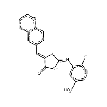 O=C1N/C(=N\c2cc(C(=O)O)ccc2Cl)S/C1=C\c1ccc2ncccc2c1